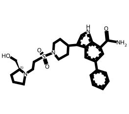 NC(=O)c1cc(-c2ccccc2)cc2c(C3CCN(S(=O)(=O)CCN4CCC[C@H]4CO)CC3)c[nH]c12